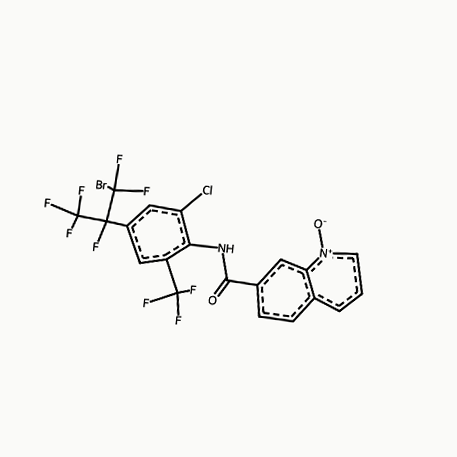 O=C(Nc1c(Cl)cc(C(F)(C(F)(F)F)C(F)(F)Br)cc1C(F)(F)F)c1ccc2ccc[n+]([O-])c2c1